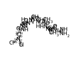 Cn1cc(NC(=O)c2cc(NC(=O)c3nc(NC(=O)c4ccc(N(CCCl)CCCl)cc4)n[nH]3)nn2C)cc1C(=O)Nc1cc(C(=O)NCCC(=N)N)n(C)n1